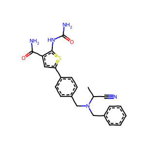 CC(C#N)N(Cc1ccccc1)Cc1ccc(-c2cc(C(N)=O)c(NC(N)=O)s2)cc1